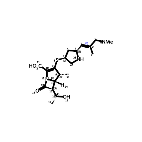 CNC/C(C)=C/[C@@H]1C[C@H](SC2=C(C(=O)O)N3C(=O)[C@H]([C@@H](C)O)[C@H]3[C@H]2C)CN1